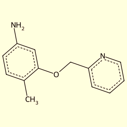 Cc1ccc(N)cc1OCc1ccccn1